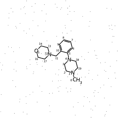 CN1CCN(c2ccccc2CN2CCOCC2)CC1